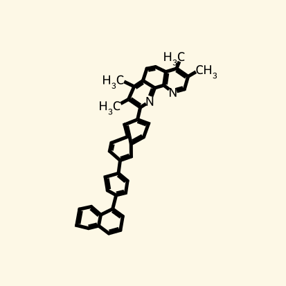 Cc1cnc2c(ccc3c(C)c(C)c(-c4ccc5cc(-c6ccc(-c7cccc8ccccc78)cc6)ccc5c4)nc32)c1C